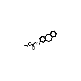 CCOC(=O)COc1ccc2c(c1)CCc1ccccc1C2